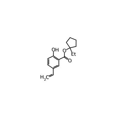 C=Cc1ccc(O)c(C(=O)OC2(CC)CCCC2)c1